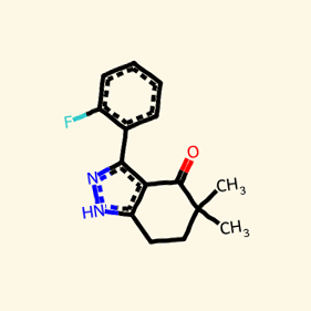 CC1(C)CCc2[nH]nc(-c3ccccc3F)c2C1=O